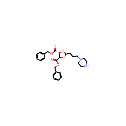 O=C(OCc1ccccc1)[C@@H]1OC(CCCN2CCNCC2)O[C@H]1C(=O)OCc1ccccc1